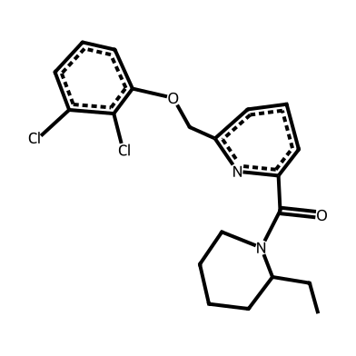 CCC1CCCCN1C(=O)c1cccc(COc2cccc(Cl)c2Cl)n1